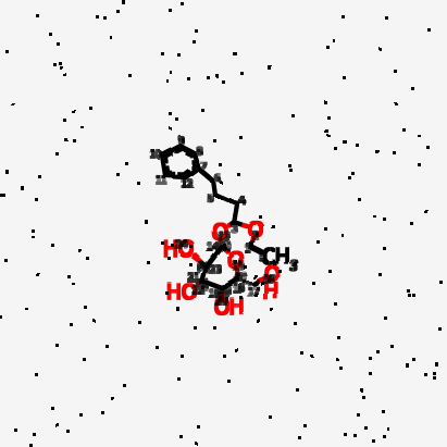 CCOC(CCCc1ccccc1)O[C@@H]1O[C@H](CO)[C@@H](O)[C@H](O)[C@H]1O